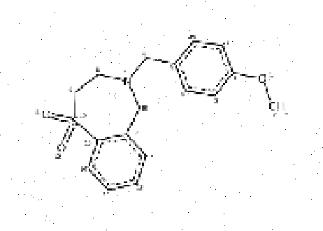 COc1ccc(CN2CCS(=O)(=O)c3ccccc3C2)cc1